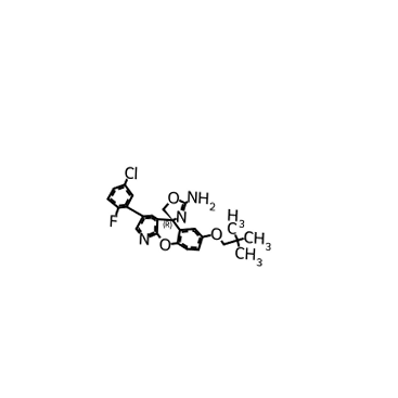 CC(C)(C)COc1ccc2c(c1)[C@]1(COC(N)=N1)c1cc(-c3cc(Cl)ccc3F)cnc1O2